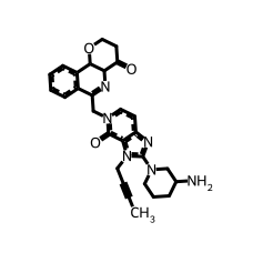 CC#CCn1c(N2CCCC(N)C2)nc2ccn(CC3=NC4C(=O)CCOC4c4ccccc43)c(=O)c21